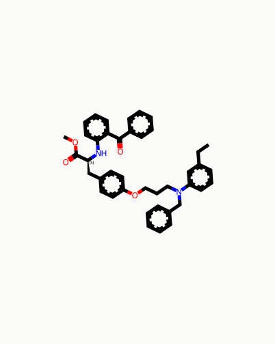 CCc1cccc(N(CCCOc2ccc(C[C@H](Nc3ccccc3C(=O)c3ccccc3)C(=O)OC)cc2)Cc2ccccc2)c1